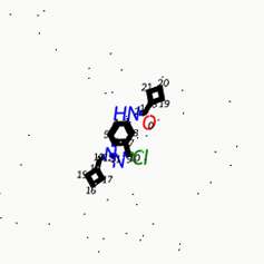 O=C(Nc1ccc2c(c1)c(Cl)nn2CC1CCC1)C1CCC1